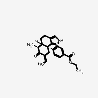 CCOC(=O)c1ccc([C@]23C/C(=C/O)C(=O)[C@@H](C)[C@@H]2CCc2c[nH]nc23)cc1